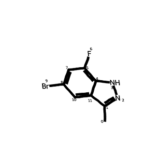 Cc1n[nH]c2c(F)cc(Br)cc12